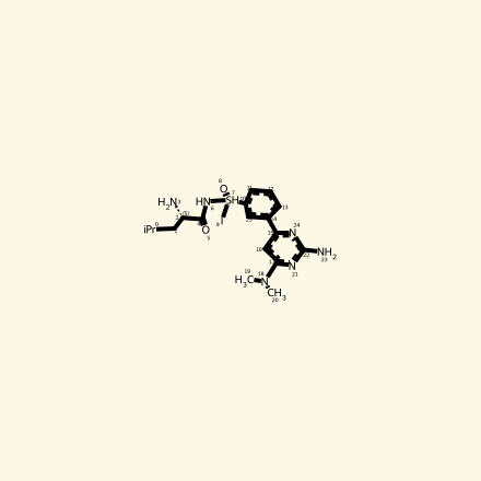 CC(C)C[C@H](N)C(=O)N[SH](=O)(I)c1cccc(-c2cc(N(C)C)nc(N)n2)c1